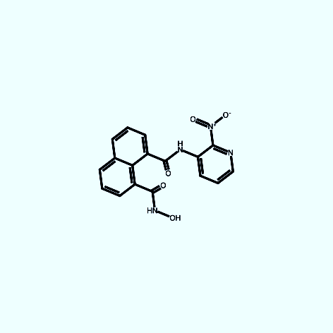 O=C(NO)c1cccc2cccc(C(=O)Nc3cccnc3[N+](=O)[O-])c12